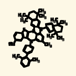 Cc1cc2c3c(c1)N(c1ccc(-c4c(C)cccc4C)cc1)c1c(sc4ccc(C(C)(C)C)cc14)B3c1cc3c(cc1N2c1ccc2c(c1)C(C)(C)CCC2(C)C)C(C)(C)CCC3(C)C